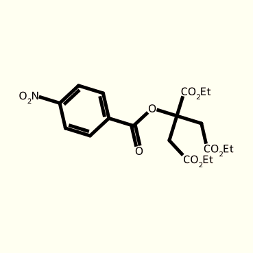 CCOC(=O)CC(CC(=O)OCC)(OC(=O)c1ccc([N+](=O)[O-])cc1)C(=O)OCC